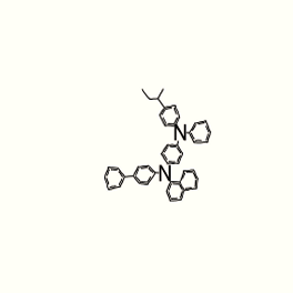 CCC(C)c1ccc(N(c2ccccc2)c2ccc(N(c3ccc(-c4ccccc4)cc3)c3cccc4ccccc34)cc2)cc1